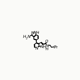 CC(C)CCNC(=O)c1cc2c(-c3ccc4[nH]nc(N)c4c3)ccnc2[nH]1